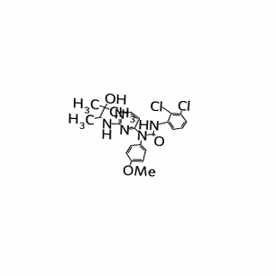 COc1ccc(N(C(=O)Nc2cccc(Cl)c2Cl)c2ccnc(NC(C)C(C)(C)O)n2)cc1